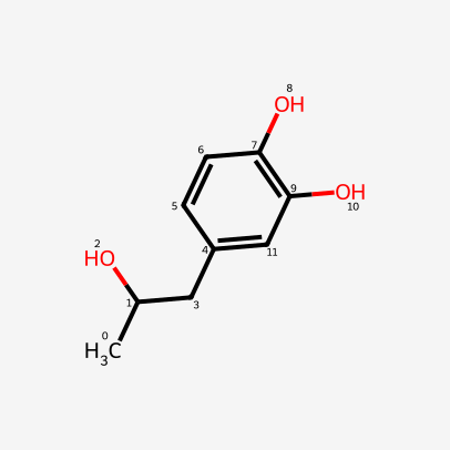 CC(O)Cc1ccc(O)c(O)c1